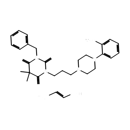 COc1ccccc1N1CCN(CCCN2C(=O)N(Cc3ccccc3)C(=O)C(C)(C)C2=O)CC1.O=C(O)/C=C/C(=O)O